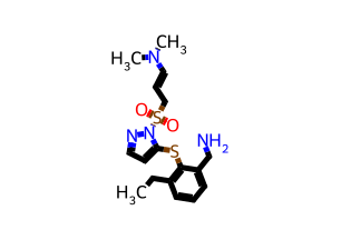 CCc1cccc(CN)c1Sc1ccnn1S(=O)(=O)CC=CN(C)C